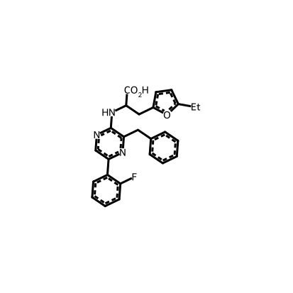 CCc1ccc(CC(Nc2ncc(-c3ccccc3F)nc2Cc2ccccc2)C(=O)O)o1